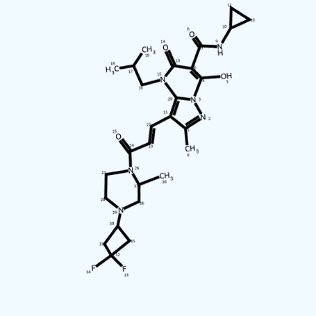 Cc1nn2c(O)c(C(=O)NC3CC3)c(=O)n(CC(C)C)c2c1C=CC(=O)N1CCN(C2CC(F)(F)C2)CC1C